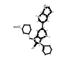 CO[C@@H]1CCC[C@H](Cn2c(=O)n(C3=CCCCC3)c3ncc(-c4cnc5[nH]ccc5c4)cc32)C1